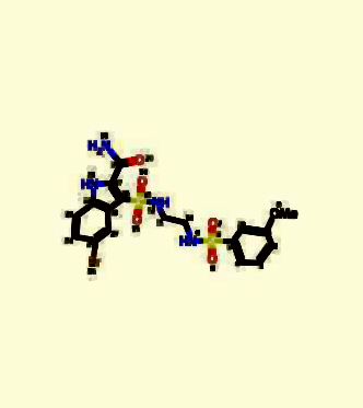 COc1cccc(S(=O)(=O)NCCNS(=O)(=O)c2c(C(N)=O)[nH]c3ccc(Br)cc23)c1